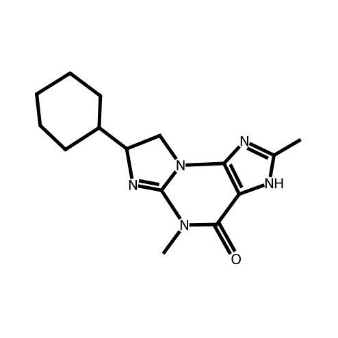 Cc1nc2c([nH]1)C(=O)N(C)C1=NC(C3CCCCC3)CN12